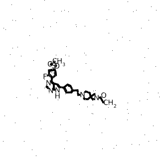 C=CC(=O)N1CC2(CCN(CCc3ccc(-c4cc5c(-c6ccc(S(C)(=O)=O)cc6F)ncnc5[nH]4)cc3)CC2)C1